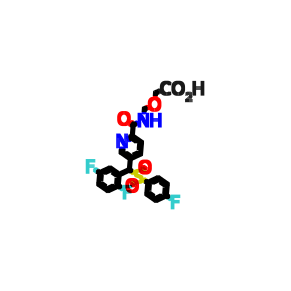 O=C(O)COCNC(=O)c1ccc(C(c2cc(F)ccc2F)S(=O)(=O)c2ccc(F)cc2)cn1